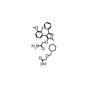 COc1cccc(-c2c(-c3ccccc3)nn(C[C@H]3CC[C@H](COCC(=O)O)CC3)c2OCC(N)=O)c1F